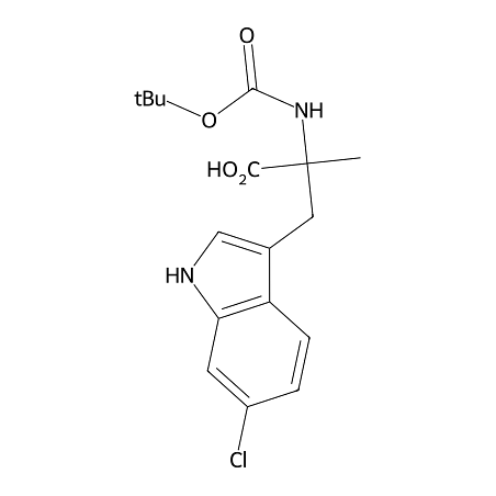 CC(C)(C)OC(=O)NC(C)(Cc1c[nH]c2cc(Cl)ccc12)C(=O)O